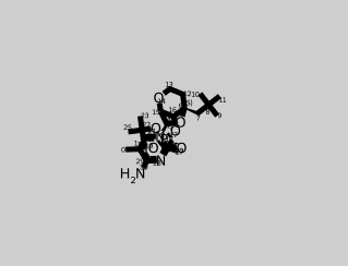 Cc1cn([C@@H]2O[C@@]3(CC(C)(C)C)CCOC2C3OP(O)(=S)OC(C)(C)C)c(=O)nc1N